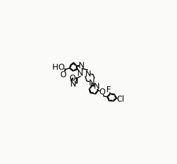 O=C(O)c1ccc2nc(CN3CCN(c4cccc(OCc5ccc(Cl)cc5F)n4)CC3)n(Cc3cnco3)c2c1